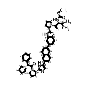 COC(=O)N[C@H](C(=O)N1CCC[C@H]1c1nc2ccc(-c3ccc4cc(-c5cnc([C@@H]6CCCN6C(=O)[C@@H](c6ccccc6)N6CCCC6)[nH]5)ccc4c3)cc2[nH]1)C(C)C